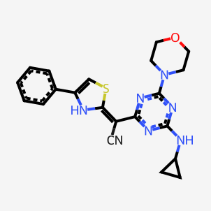 N#C/C(=C1\NC(c2ccccc2)=CS1)c1nc(NC2CC2)nc(N2CCOCC2)n1